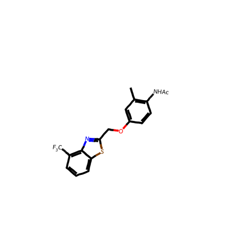 CC(=O)Nc1ccc(OCc2nc3c(C(F)(F)F)cccc3s2)cc1C